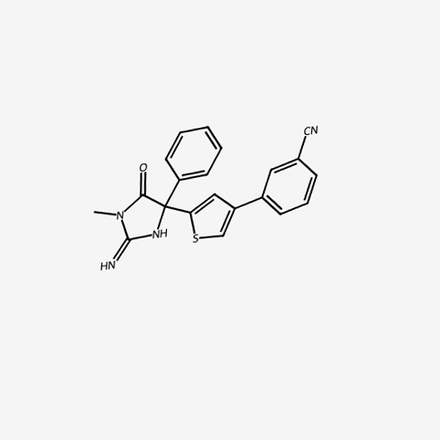 CN1C(=N)NC(c2ccccc2)(c2cc(-c3cccc(C#N)c3)cs2)C1=O